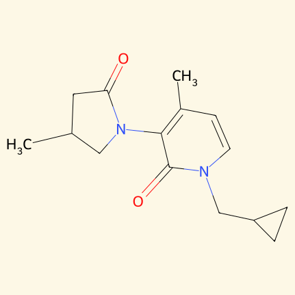 Cc1ccn(CC2CC2)c(=O)c1N1CC(C)CC1=O